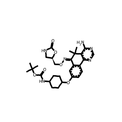 CC(C)(C)OC(=O)NC1CCC(Oc2ccc3c(c2)/C(=N\OC[C@H]2CNC(=O)O2)C(C)(C)c2c(N)ncnc2-3)CC1